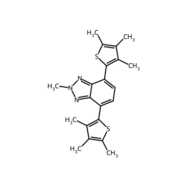 Cc1sc(-c2ccc(-c3sc(C)c(C)c3C)c3nn(C)nc23)c(C)c1C